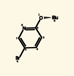 CC[C@@H](C)Oc1ccc(Br)cn1